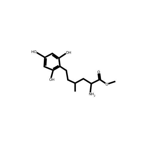 COC(=O)C(N)CC(C)CCc1c(O)cc(O)cc1O